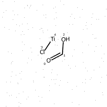 O=CO.[Cl][Ti]